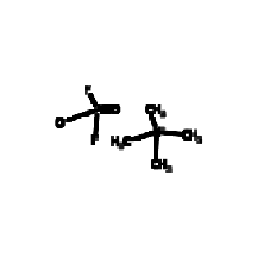 C[N+](C)(C)C.O=P([O-])(F)F